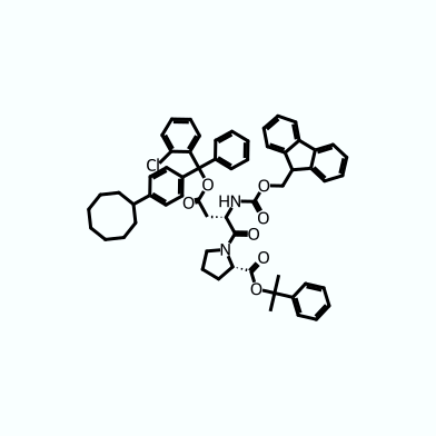 CC(C)(OC(=O)[C@@H]1CCCN1C(=O)[C@H](CC(=O)OC(c1ccccc1)(c1ccc(C2CCCCCCC2)cc1)c1ccccc1Cl)NC(=O)OCC1c2ccccc2-c2ccccc21)c1ccccc1